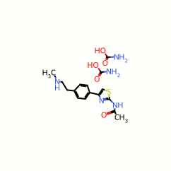 CNCCc1ccc(-c2csc(NC(C)=O)n2)cc1.NC(=O)O.NC(=O)O